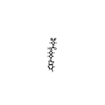 Cc1ccc2sc(C3CC4(CC(NC(=O)C5CS(=O)(=O)C5)C4)C3)nc2c1